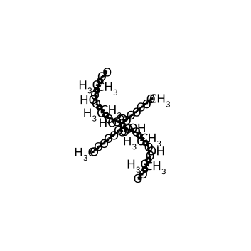 COCCOCCOCCOCCOCCOC(=O)c1cc(C(=O)OCC(O)COc2ccc(C(C)(C)c3ccc(OCC(O)COc4ccc(C(C)(C)c5ccc(OCC6CO6)cc5)cc4)cc3)cc2)c(C(=O)OCCOCCOCCOCCOCCOC)cc1C(=O)OCC(O)COc1ccc(C(C)(C)c2ccc(OCC(O)COc3ccc(C(C)(C)c4ccc(OCC5CO5)cc4)cc3)cc2)cc1